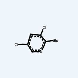 C[CH]C(C)c1ncc(Cl)cc1Cl